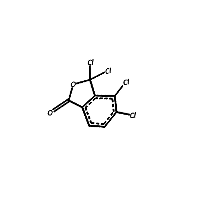 O=C1OC(Cl)(Cl)c2c1ccc(Cl)c2Cl